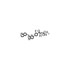 C[C@H](O)CNC(=O)c1ccc(-c2ccc3ncn(Cc4ccc5ncccc5c4)c3n2)cc1F